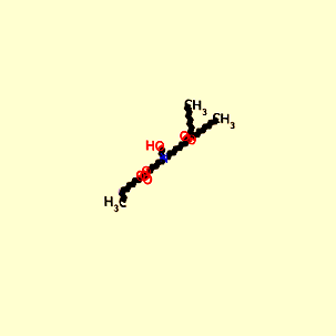 CC/C=C\CCCCCOC(=O)OCCCCCN(CCO)CCCCCCCC(=O)OC(CCCCCCCC)CCCCCCCC